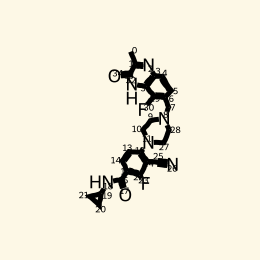 Cc1nc2ccc(CN3CCN(c4ccc(C(=O)NC5CC5)c(F)c4C#N)CC3)c(F)c2[nH]c1=O